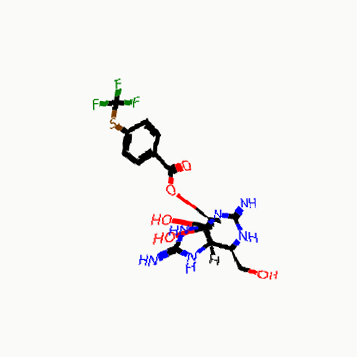 N=C1N[C@H]2[C@H](CO)NC(=N)N3C[C@H](OC(=O)c4ccc(SC(F)(F)F)cc4)C(O)(O)[C@]23N1